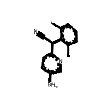 Bc1ccc(C(C#N)c2c(C)cccc2I)nc1